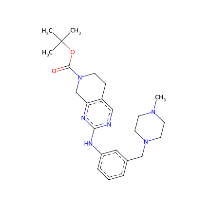 CN1CCN(Cc2cccc(Nc3ncc4c(n3)CN(C(=O)OC(C)(C)C)CC4)c2)CC1